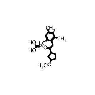 COC1CCC(C(=O)Cc2c(C)cc(C)cc2C)C1.O=C(O)O